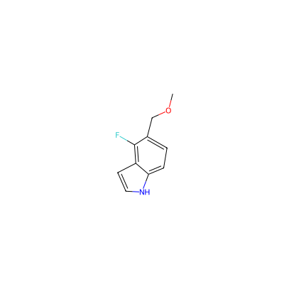 COCc1ccc2[nH]ccc2c1F